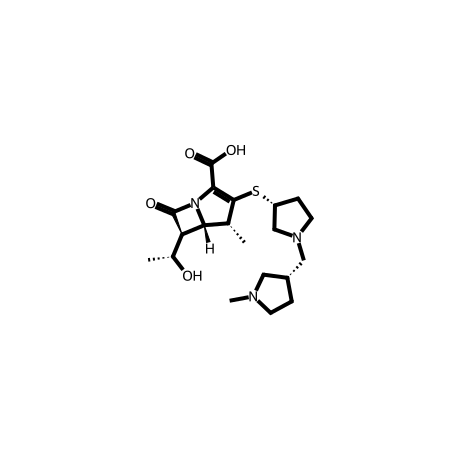 C[C@@H](O)[C@H]1C(=O)N2C(C(=O)O)=C(S[C@@H]3CCN(C[C@@H]4CCN(C)C4)C3)[C@H](C)[C@H]12